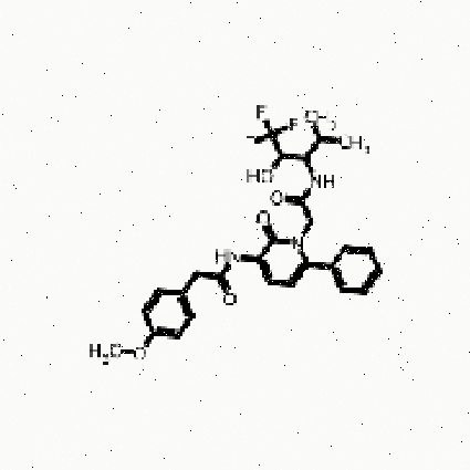 COc1ccc(CC(=O)Nc2ccc(-c3ccccc3)n(CC(=O)NC(C(C)C)C(O)C(F)(F)F)c2=O)cc1